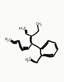 C=C/C=C\C(=C(/C=C)CC)c1ccccc1CC